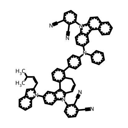 CC(C)/C=C\c1cc2ccccc2n1-c1ccc2c(c1)c1c(n2-c2cccc(C#N)c2C#N)C=CCc2c(-c3ccc(N(c4ccccc4)c4ccc5c(c4)c4c6ccccc6ccc4n5-c4cccc(C#N)c4C#N)cc3)cccc2-1